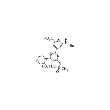 CC1COCCN1c1cc(N=S(C)(C)=O)nc(-c2cc(NC(C)(C)C)nc(C(=O)O)c2)n1